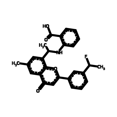 Cc1cc(C(C)Nc2ccccc2C(=O)O)c2oc(-c3cccc(C(C)F)c3)cc(=O)c2c1